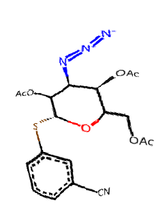 CC(=O)OCC1O[C@H](Sc2cccc(C#N)c2)C(OC(C)=O)[C@@H](N=[N+]=[N-])[C@H]1OC(C)=O